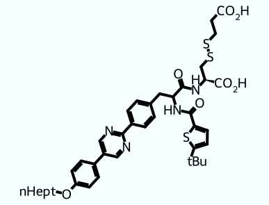 CCCCCCCOc1ccc(-c2cnc(-c3ccc(CC(NC(=O)c4ccc(C(C)(C)C)s4)C(=O)N[C@@H](CSSCCC(=O)O)C(=O)O)cc3)nc2)cc1